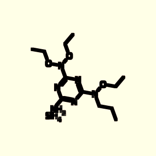 CCCN(OCC)c1nc(N)nc(N(OCC)OCC)n1.[SiH4]